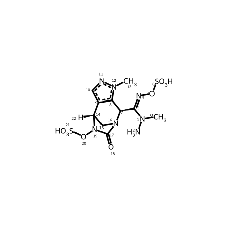 CN(N)C(=NOS(=O)(=O)O)[C@@H]1c2c(cnn2C)[C@@H]2CN1C(=O)N2OS(=O)(=O)O